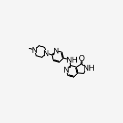 CN1CCN(c2ccc(Nc3nccc4c3C(=O)NC4)cn2)CC1